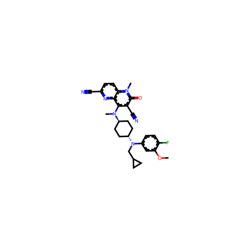 COc1cc(N(CC2CC2)[C@H]2CC[C@H](N(C)c3c(C#N)c(=O)n(C)c4ccc(C#N)nc34)CC2)ccc1F